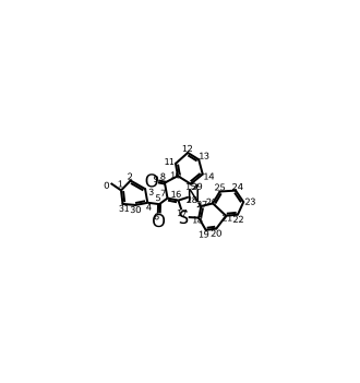 Cc1ccc(C(=O)/C(C(=O)c2ccccc2)=C2\Sc3ccc4ccccc4c3N2C)cc1